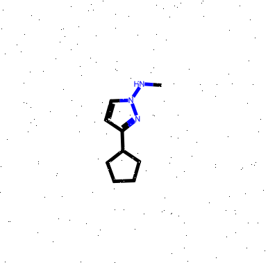 CNn1ccc(C2CCCC2)n1